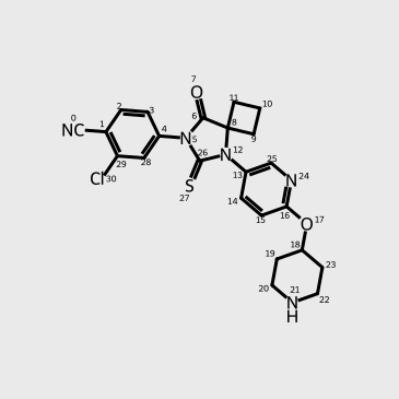 N#Cc1ccc(N2C(=O)C3(CCC3)N(c3ccc(OC4CCNCC4)nc3)C2=S)cc1Cl